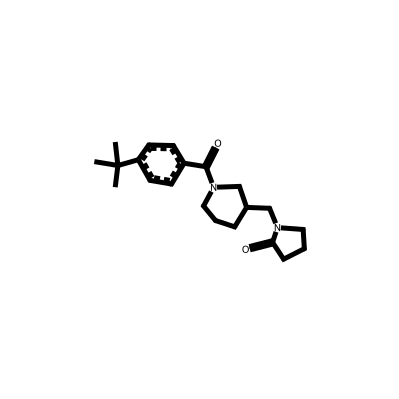 CC(C)(C)c1ccc(C(=O)N2CCCC(CN3CCCC3=O)C2)cc1